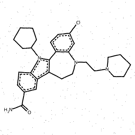 NC(=O)c1ccc2c(c1)c1c(n2C2CCCCC2)-c2ccc(Cl)cc2N(CCN2CCCCC2)CC1